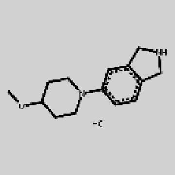 COC1CCN(c2ccc3c(c2)CNC3)CC1.Cl